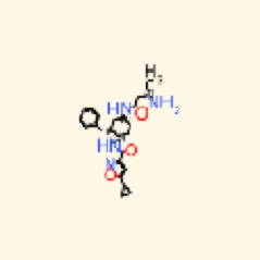 C[C@H](N)CC(=O)N[C@H]1CC[C@H](NC(=O)c2cc(C3CC3)on2)[C@H](Cc2ccccc2)C1